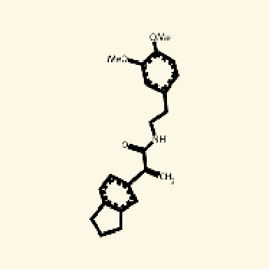 C=C(C(=O)NCCc1ccc(OC)c(OC)c1)c1ccc2c(c1)CCC2